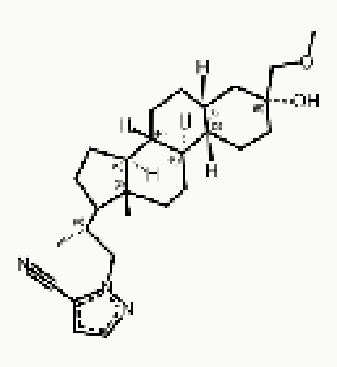 COC[C@@]1(O)CC[C@H]2[C@H](CC[C@@H]3[C@@H]2CC[C@]2(C)C([C@@H](C)Cn4nccc4C#N)CC[C@@H]32)C1